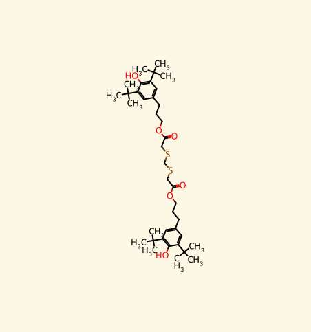 CC(C)(C)c1cc(CCCOC(=O)CSCSCC(=O)OCCCc2cc(C(C)(C)C)c(O)c(C(C)(C)C)c2)cc(C(C)(C)C)c1O